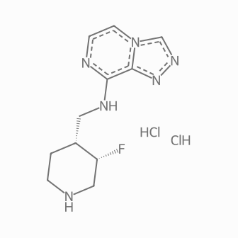 Cl.Cl.F[C@@H]1CNCC[C@@H]1CNc1nccn2cnnc12